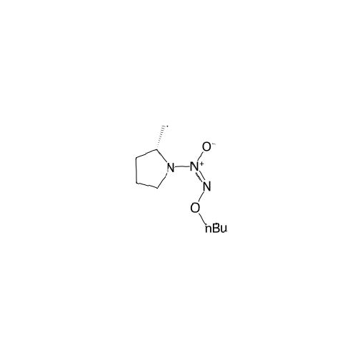 [CH2][C@H]1CCCN1/[N+]([O-])=N\OCCCC